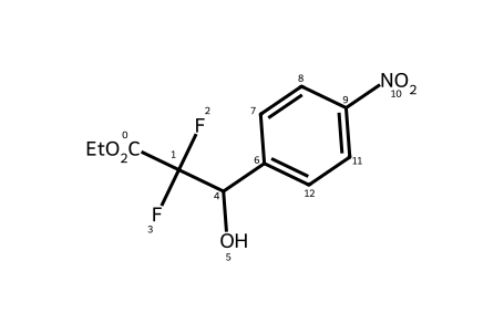 CCOC(=O)C(F)(F)C(O)c1ccc([N+](=O)[O-])cc1